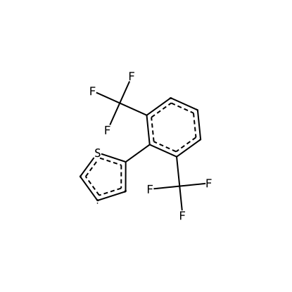 FC(F)(F)c1cccc(C(F)(F)F)c1-c1c[c]cs1